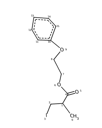 CC(CI)C(=O)OCCOc1ccccc1